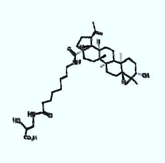 C=C(C)[C@@H]1CC[C@]2(C(=O)NCCCCCCCC(=O)NCC(O)C(=O)O)CC[C@]3(C)[C@H](CCC4[C@@]5(C)CC[C@H](O)C(C)(C)[C@@H]5CC[C@]43C)[C@@H]12